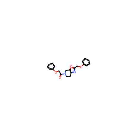 O=C(COc1ccccc1)N1CCc2nc(COc3ccccc3)oc2C1